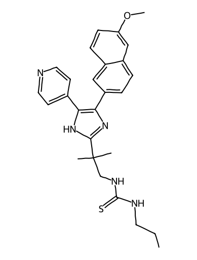 CCCNC(=S)NCC(C)(C)c1nc(-c2ccc3cc(OC)ccc3c2)c(-c2ccncc2)[nH]1